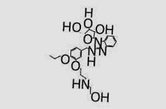 CCCOc1ccc(CNc2nc3ccccc3n2[C@@H]2O[C@H](CO)[C@@H](O)[C@H]2O)cc1OCCCNCCO